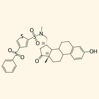 CN(C[C@H]1CC(=O)[C@@]2(C)CCC3c4ccc(O)cc4CCC3C12)S(=O)(=O)c1cc(S(=O)(=O)c2ccccc2)cs1